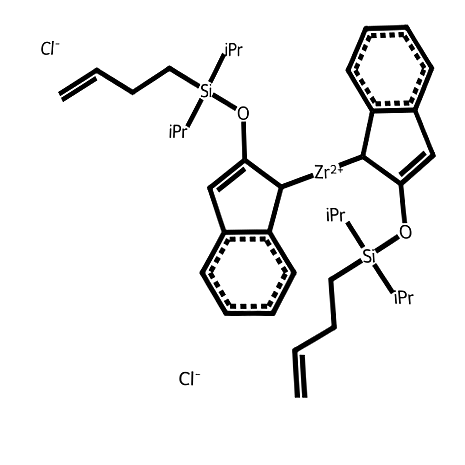 C=CCC[Si](OC1=Cc2ccccc2[CH]1[Zr+2][CH]1C(O[Si](CCC=C)(C(C)C)C(C)C)=Cc2ccccc21)(C(C)C)C(C)C.[Cl-].[Cl-]